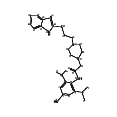 CC(C)c1cc(O)cc(C(C)C)c1NC(=O)CN1CCN(CCSc2nc3ccccc3[nH]2)CC1